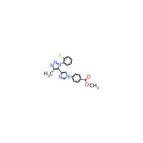 COC(=O)c1ccc(-n2cnc(-c3c(C)nnn3-c3ccccc3F)c2)cc1